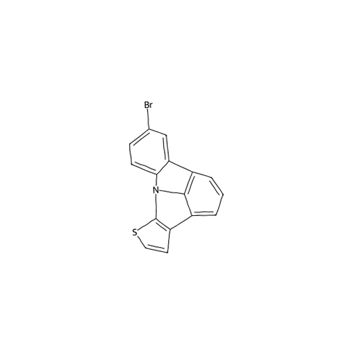 Brc1ccc2c(c1)c1cccc3c4ccsc4n2c13